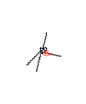 CCCCCCCCCCCCCc1c(CCCCCCCCCCCCC)c2c(CCCCCCCCCCCCC)c(CCCCCCCCCCCCC)c1OP(O)Oc1ccc(cc1)C2(C)C